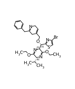 CCOC1=N[C@H](C(C)C)C(OCC)=N[C@H]1[C@H](OCC1=CCN=C(Cc2ccccc2)C1)c1nc(Br)cs1